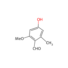 COc1cc(O)cc(C)c1C=O